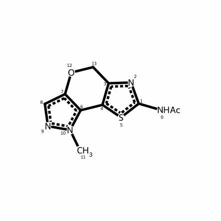 CC(=O)Nc1nc2c(s1)-c1c(cnn1C)OC2